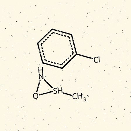 C[SH]1NO1.Clc1ccccc1